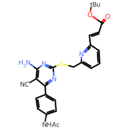 CC(=O)Nc1ccc(-c2nc(SCc3cccc(C=CC(=O)OC(C)(C)C)n3)nc(N)c2C#N)cc1